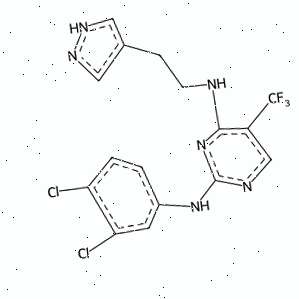 FC(F)(F)c1cnc(Nc2ccc(Cl)c(Cl)c2)nc1NCCc1cn[nH]c1